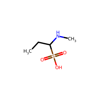 CCC(NC)S(=O)(=O)O